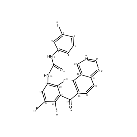 O=C(Nc1cccc(F)c1)Nc1cc(F)c(F)c(C(=O)c2ccc3ncncc3c2)c1F